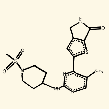 CS(=O)(=O)N1CCC(Nc2ncc(C(F)(F)F)c(-c3cc4c(s3)C(=O)NC4)n2)CC1